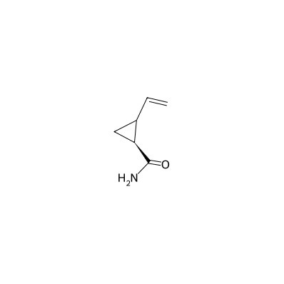 C=CC1C[C@@H]1C(N)=O